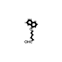 O=[C]CCCCCOc1cccc2ccccc12